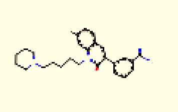 C[C@@H]1CCC[C@H](C)N1CCCCCn1c(=O)c(-c2cccc(C(=N)N)c2)cc2ccc(C(F)(F)F)cc21